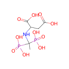 CC(NC(CC(=O)O)C(=O)O)(P(=O)(O)O)P(=O)(O)O